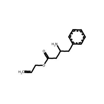 C=CCOC(=O)CC(N)Cc1ccccc1